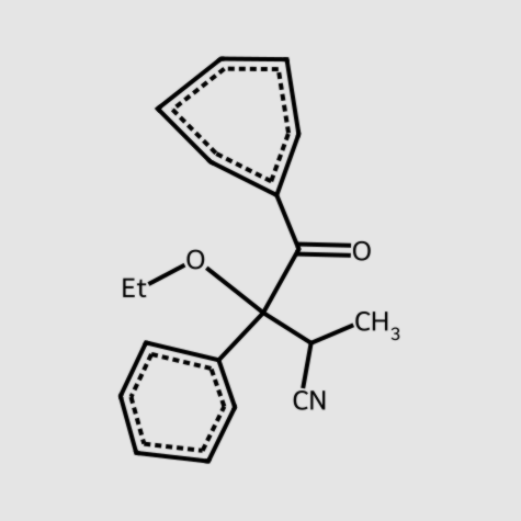 CCOC(C(=O)c1ccccc1)(c1ccccc1)C(C)C#N